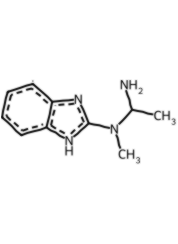 CC(N)N(C)c1nc2[c]cccc2[nH]1